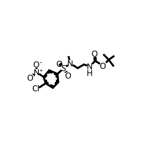 CN(CCNC(=O)OC(C)(C)C)S(=O)(=O)c1ccc(Cl)c([N+](=O)[O-])c1